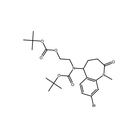 CN1C(=O)CCC(N(CCOC(=O)OC(C)(C)C)C(=O)OC(C)(C)C)c2ccc(Br)cc21